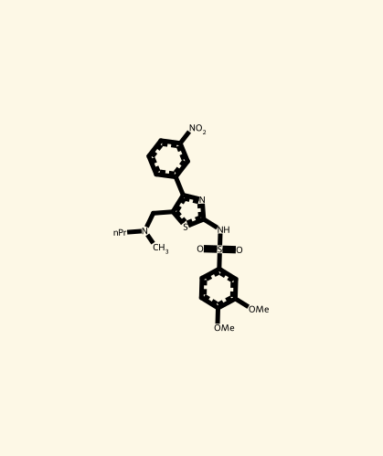 CCCN(C)Cc1sc(NS(=O)(=O)c2ccc(OC)c(OC)c2)nc1-c1cccc([N+](=O)[O-])c1